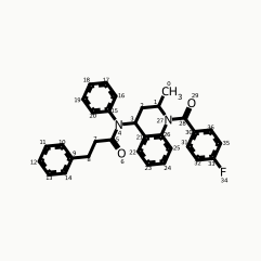 CC1CC(N(C(=O)CCc2ccccc2)c2ccccc2)c2ccccc2N1C(=O)c1ccc(F)cc1